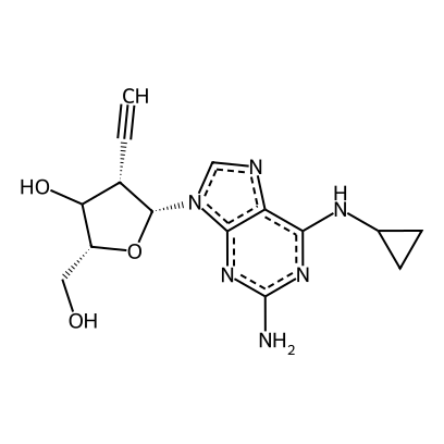 C#C[C@H]1C(O)[C@@H](CO)O[C@H]1n1cnc2c(NC3CC3)nc(N)nc21